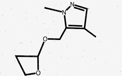 Cc1[c]nn(C)c1COC1CCO1